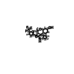 CC1(C)Oc2cc(O)ccc2C2(C(=O)Nc3ccccc32)C1Cc1ccc(C(F)(F)F)o1